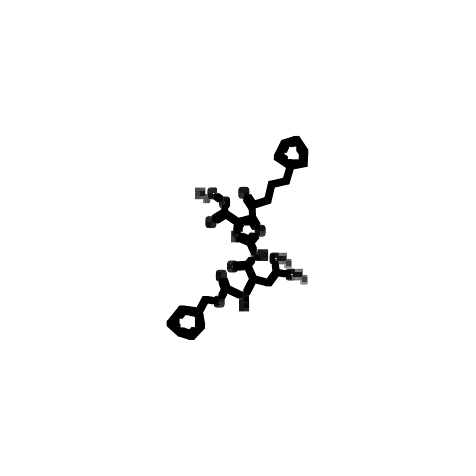 COC(=O)c1nc(NC(=O)C(CC(C)C)NC(=O)OCc2ccccc2)oc1C(=O)CCCc1ccccc1